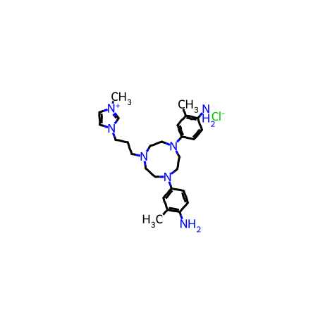 Cc1cc(N2CCN(CCCn3cc[n+](C)c3)CCN(c3ccc(N)c(C)c3)CC2)ccc1N.[Cl-]